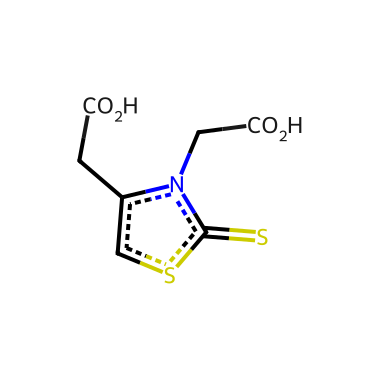 O=C(O)Cc1csc(=S)n1CC(=O)O